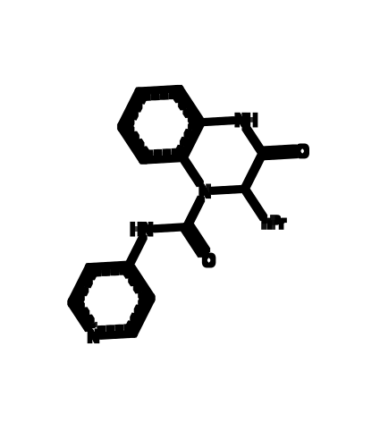 CCCC1C(=O)Nc2ccccc2N1C(=O)Nc1ccncc1